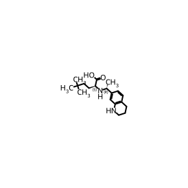 C[C@@H](N[C@@H](CCC(C)(C)C)C(=O)O)c1ccc2c(c1)NCCC2